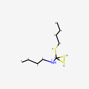 CCCCNC1(SCCCC)SS1